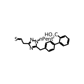 CCCCCn1nc(CC=S)nc1Cc1ccc(-c2ccccc2C(=O)O)cc1